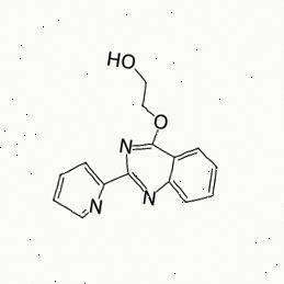 OCCOc1nc(-c2ccccn2)nc2ccccc12